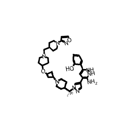 C[C@H](C1CCN(C2CC(OC3CCN(CC4CCN(c5ccon5)CC4)CC3)C2)CC1)n1cc(C2=C(N)NNC(c3ccccc3O)=C2)cn1